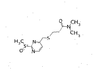 CN(C)C(=O)CCSCc1ccnc([S+](C)[O-])n1